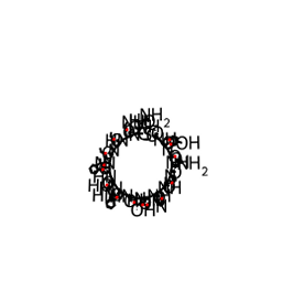 CCCC[C@H]1C(=O)N(C)[C@@H](CCCC)C(=O)N[C@@H](CCCN)C(=O)N[C@H](C(=O)NCC(N)=O)CSCC(=O)N[C@@H](Cc2ccc(O)cc2)C(=O)N(C)[C@@H](C)C(=O)N[C@@H](CC(N)=O)C(=O)N2CCC[C@H]2C(=O)N[C@@H](Cc2cnc[nH]2)C(=O)N[C@@H](CC(C)C)C(=O)N2C[C@H](O)C[C@H]2C(=O)N[C@@H](Cc2c[nH]c3ccccc23)C(=O)N[C@@H](CO)C(=O)N[C@@H](Cc2cn(C)c3ccccc23)C(=O)N1C